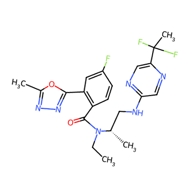 CCN(C(=O)c1ccc(F)cc1-c1nnc(C)o1)[C@@H](C)CNc1cnc(C(C)(F)F)cn1